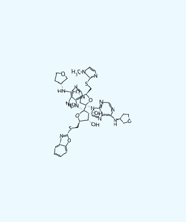 Cn1ccnc1SC[C@H]1O[C@@](n2cnc3c(N[C@H]4CCOC4)ncnc32)([C@]2(n3cnc4c(N[C@@H]5CCOC5)ncnc43)O[C@H](CSc3nc4ccccc4o3)[C@@H](O)[C@H]2O)[C@H](O)[C@@H]1O